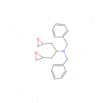 c1ccc(CN(Cc2ccccc2)C(CC2CO2)CC2CO2)cc1